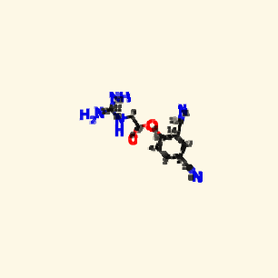 N#Cc1ccc(OC(=O)CNC(=N)N)c(C#N)c1